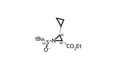 CCOC(=O)[C@H]1[C@@H](C2CC2)N1[S@+]([O-])C(C)(C)C